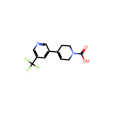 O=C(O)N1CC=C(c2cncc(C(F)(F)F)c2)CC1